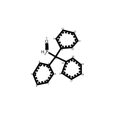 O=[PH2]C(c1ccccc1)(c1ccccc1)c1ccccc1